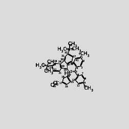 Cc1ccc([C](c2ccc(C)cc2)=[Hf+2]([C]2=CC=CC2)[CH]2c3ccc(C(C)(C)C)cc3-c3cc(C(C)(C)C)ccc32)cc1.[Cl-].[Cl-]